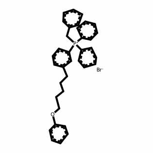 [Br-].c1ccc(C[P+](c2ccccc2)(c2ccccc2)c2cccc(CCCCCOc3ccccc3)c2)cc1